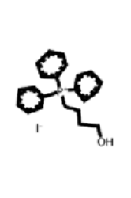 OCCCC[P+](c1ccccc1)(c1ccccc1)c1ccccc1.[I-]